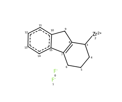 [F-].[F-].[Zr+2][CH]1CCCC2=C1Cc1ccccc12